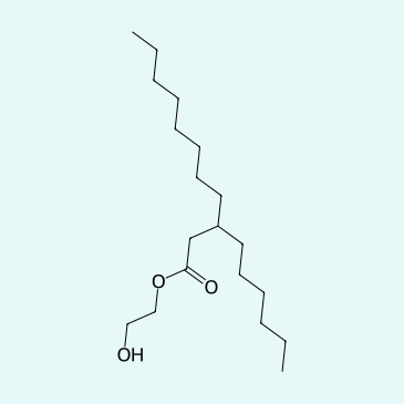 CCCCCCCCC(CCCCCC)CC(=O)OCCO